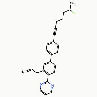 C=CCc1cc(-c2ccc(C#CCCCC(C)F)cc2)ccc1-c1ncccn1